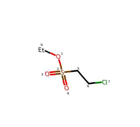 CCOS(=O)(=O)CCCl